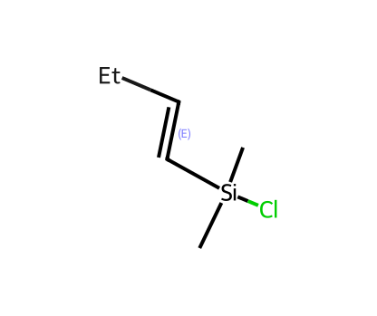 CC/C=C/[Si](C)(C)Cl